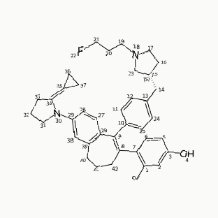 Cc1cc(O)ccc1C1=C(c2ccc(C[C@H]3CCN(CCCF)C3)cc2)c2ccc(N3CCCC3=C3CC3)cc2CCC1